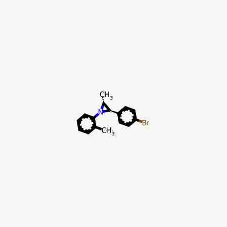 Cc1ccccc1N1[C@H](C)[C@H]1c1ccc(Br)cc1